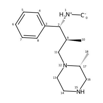 [CH2-][NH2+][C@@H](c1ccccc1)[C@@H](C)CN1CCNC[C@H]1C